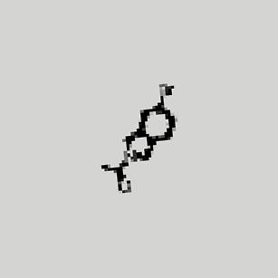 CC(=O)n1cc2ccc(Br)cc2c1